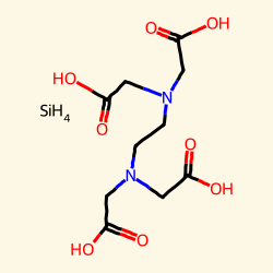 O=C(O)CN(CCN(CC(=O)O)CC(=O)O)CC(=O)O.[SiH4]